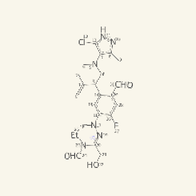 C=C(C)C(CN(C)c1c(C)n[nH]c1Cl)c1cc(N(C)/N=C(/CO)N(C=O)CC)c(F)cc1C=O